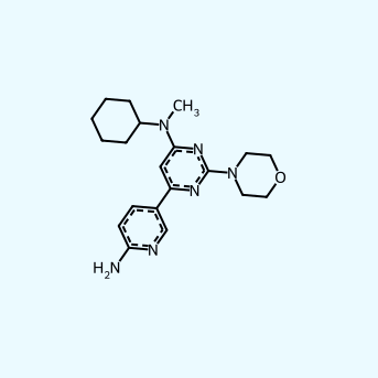 CN(c1cc(-c2ccc(N)nc2)nc(N2CCOCC2)n1)C1CCCCC1